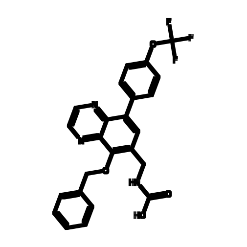 O=C(O)NCc1cc(-c2ccc(OC(F)(F)F)cc2)c2nccnc2c1OCc1ccccc1